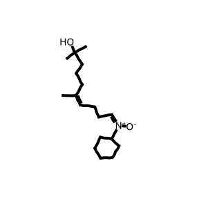 CC(=CCC/C=[N+](/[O-])C1CCCCC1)CCCC(C)(C)O